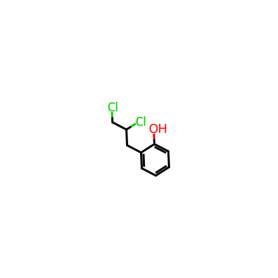 Oc1ccccc1CC(Cl)CCl